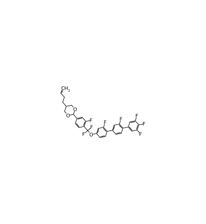 C=CCCC1COC(c2ccc(C(F)(F)Oc3ccc(-c4ccc(-c5cc(F)c(F)c(F)c5)c(F)c4)c(F)c3)c(F)c2)OC1